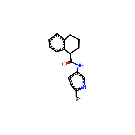 CC(C)c1ccc(NC(=O)C2CCCc3ccccc32)cn1